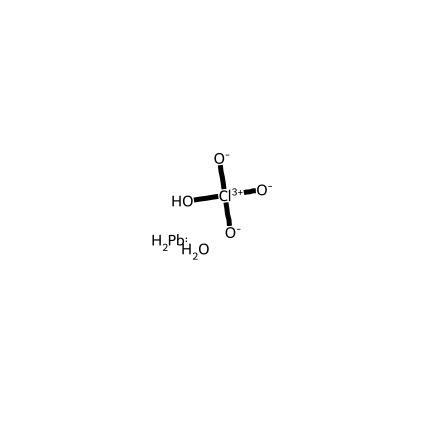 O.[O-][Cl+3]([O-])([O-])O.[PbH2]